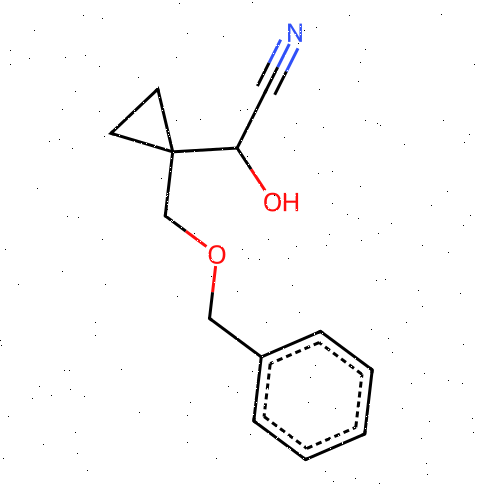 N#CC(O)C1(COCc2ccccc2)CC1